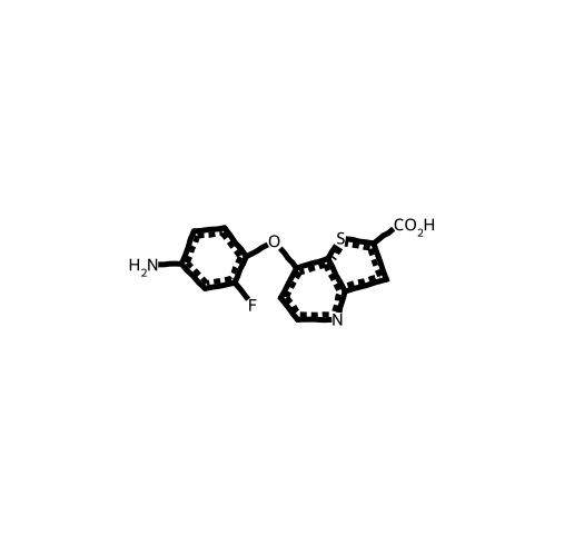 Nc1ccc(Oc2ccnc3cc(C(=O)O)sc23)c(F)c1